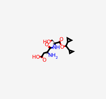 N[C@@H](CC(=O)O)C(=O)N[C@H](CO)C(=O)OC(C1CC1)C1CC1